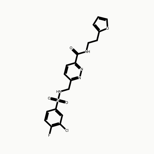 O=C(NCCc1ccco1)c1ccc(CNS(=O)(=O)c2ccc(F)c(Cl)c2)nn1